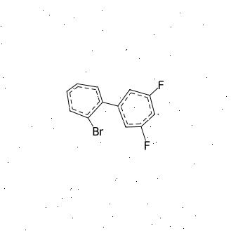 Fc1[c]c(F)cc(-c2ccccc2Br)c1